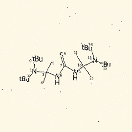 CC(C)(C)N(C(C)(C)C)C(C)(C)NC(=S)NC(C)(C)N(C(C)(C)C)C(C)(C)C